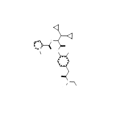 CC(C)n1nccc1C(=O)NC(C(=O)Nc1ccc(CC(=O)N(C)CC(F)(F)F)cc1F)C(C1CC1)C1CC1